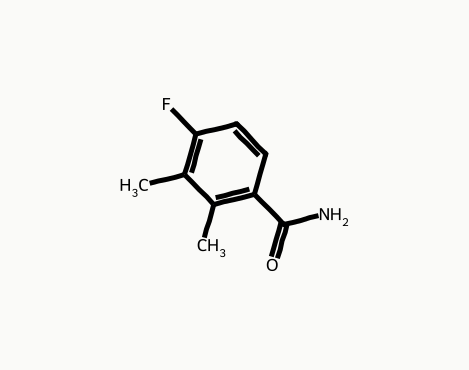 Cc1c(F)ccc(C(N)=O)c1C